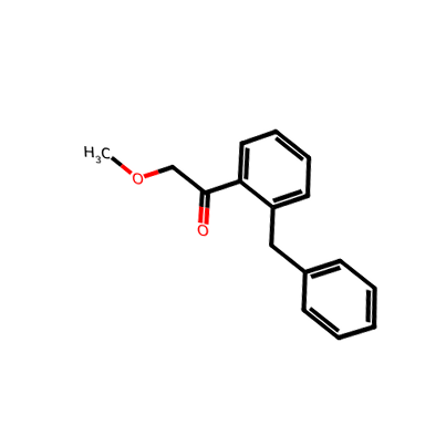 COCC(=O)c1ccccc1Cc1ccccc1